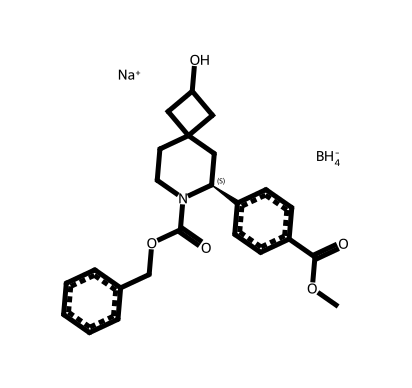 COC(=O)c1ccc([C@@H]2CC3(CCN2C(=O)OCc2ccccc2)CC(O)C3)cc1.[BH4-].[Na+]